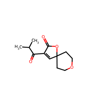 CC(C)C(=O)C1=CC2(CCOCC2)OC1=O